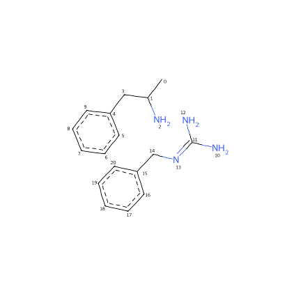 CC(N)Cc1ccccc1.NC(N)=NCc1ccccc1